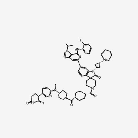 CC(C)n1cnc2cc(-c3ccc4c(c3)N([C@H]3C[C@@H](N5CCCCC5)C3)C(=O)C43CCN(C(=O)[C@H]4CC[C@H](C(=O)N5CCC(N(C)c6ccc(C7CCC(=O)NC7=O)cn6)CC5)CC4)CC3)nc(Nc3ccccc3F)c21